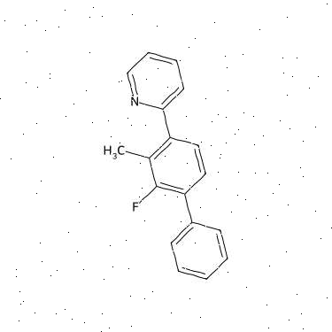 Cc1c(-c2ccccn2)ccc(-c2ccccc2)c1F